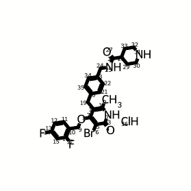 Cc1[nH]c(=O)c(Br)c(OCc2ccc(F)cc2F)c1Cc1ccc(CNC(=O)C2CCNCC2)cc1.Cl